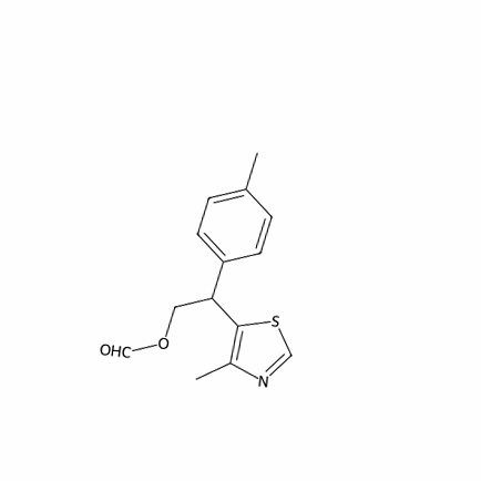 Cc1ccc(C(COC=O)c2scnc2C)cc1